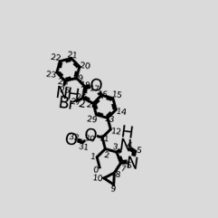 CCC(c1[nH]cnc1C1CC1)C(Cc1ccc2oc(-c3ccccc3N)c(Br)c2c1)OC=O